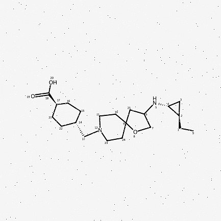 CC[C@@H]1C[C@H]1NC1COC2(CCN(C[C@H]3CC[C@H](C(=O)O)CC3)CC2)C1